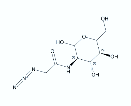 [N-]=[N+]=NCC(=O)N[C@H]1C(O)OC(CO)[C@@H](O)[C@@H]1O